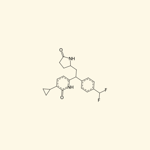 O=C1CCC(CC(c2ccc(C(F)F)cc2)c2ccc(C3CC3)c(=O)[nH]2)N1